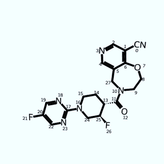 N#Cc1cncc2c1OCCN(C(=O)[C@H]1CCN(c3ncc(F)cn3)C[C@@H]1F)C2